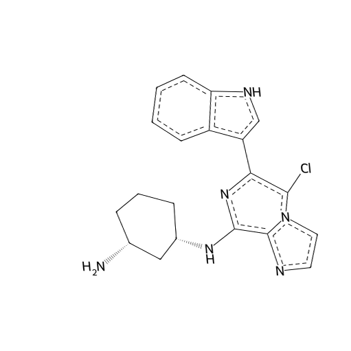 N[C@@H]1CCC[C@H](Nc2nc(-c3c[nH]c4ccccc34)c(Cl)n3ccnc23)C1